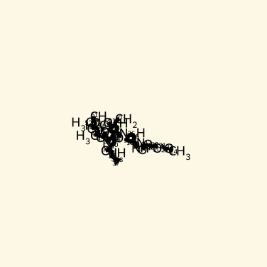 C=Cc1cc(C(=O)Nc2ccc(C(=N)NC(=O)OCCOCCOC)cc2)c(-c2ccc(C(=O)NCC3CC3)nc2C(=O)OC(C)OC(=O)OC(C)C)cc1OC